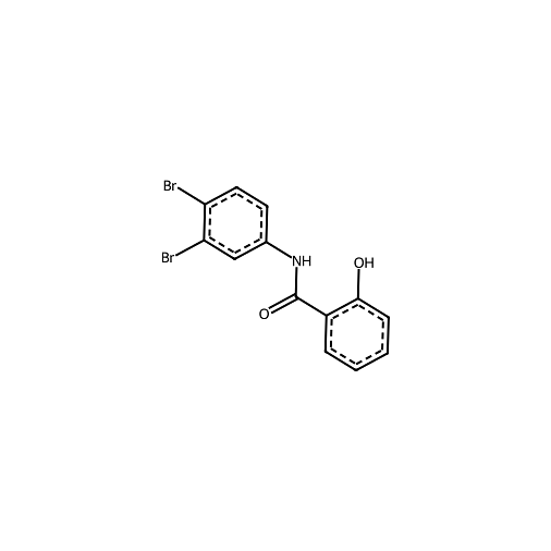 O=C(Nc1ccc(Br)c(Br)c1)c1ccccc1O